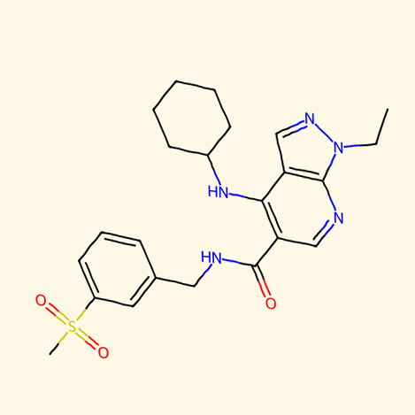 CCn1ncc2c(NC3CCCCC3)c(C(=O)NCc3cccc(S(C)(=O)=O)c3)cnc21